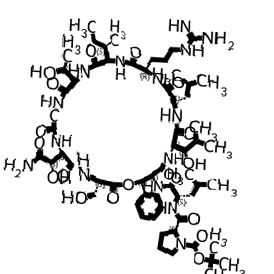 CC[C@H](C)C1NC(=O)[C@@H](CCCNC(=N)N)NC(=O)[C@H](CC(C)C)NC(=O)[C@H]([C@H](O)C(C)C)NC(=O)[C@@H](NC(=O)[C@H](CC(C)C)NC(=O)[C@@H]2CCCN2C(=O)OC(C)(C)C)[C@@H](c2ccccc2)OC(=O)[C@H](CO)NC(=O)[C@H]([C@H](O)C(N)=O)NC(=O)CNC(=O)C([C@H](C)O)NC1=O